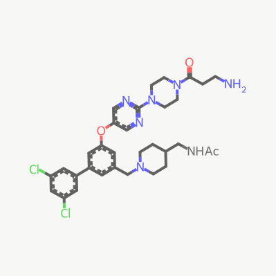 CC(=O)NCC1CCN(Cc2cc(Oc3cnc(N4CCN(C(=O)CCN)CC4)nc3)cc(-c3cc(Cl)cc(Cl)c3)c2)CC1